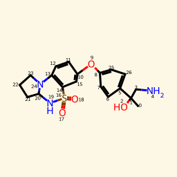 CC(O)(CN)c1ccc(Oc2ccc3c(c2)S(=O)(=O)NC2CCCN32)cc1